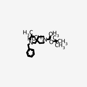 C=C(C)CN(Cc1ccccc1)CC1(O)CCN(C(=O)OC(C)(C)C)CC1